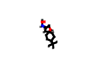 CC(C)(C)C1CCC2(CC1)CC(=NO)CO2